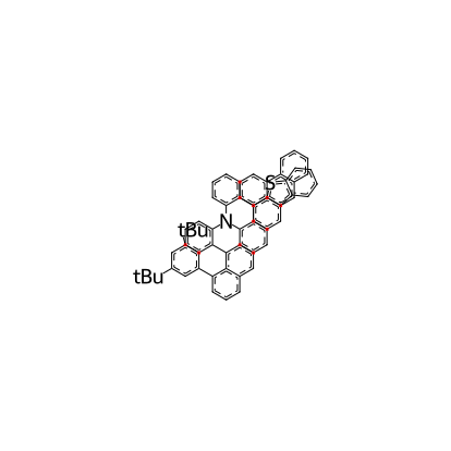 CC(C)(C)c1cc(-c2cccc3cccc(-c4ccccc4N(c4ccccc4-c4cccc5c4ccc4ccccc45)c4ccccc4-c4cccc5c4sc4ccccc45)c23)cc(C(C)(C)C)c1